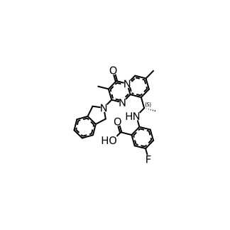 Cc1cc([C@H](C)Nc2ccc(F)cc2C(=O)O)c2nc(N3Cc4ccccc4C3)c(C)c(=O)n2c1